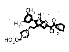 C=C(C(=O)N1C2CCC1CC2)c1cc2c(CCN3CCN(CC(=O)O)CC3)c(-c3cc(C)cc(C)c3)[nH]c2s1